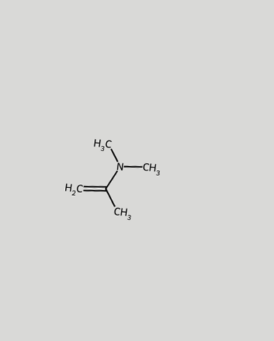 C=C(C)N(C)C